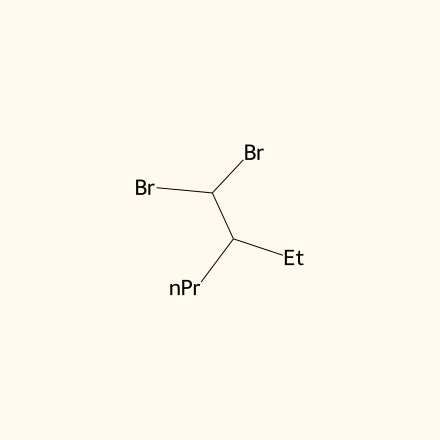 CCCC(CC)C(Br)Br